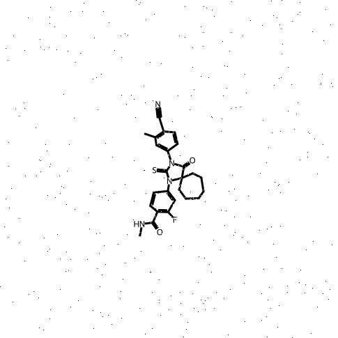 CNC(=O)c1ccc(N2C(=S)N(c3ccc(C#N)c(C)c3)C(=O)C23CCCCCC3)cc1F